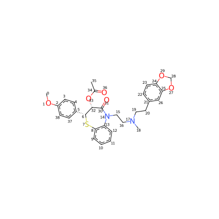 COc1ccc([C@H]2Sc3ccccc3N(CCN(C)CCc3ccc4c(c3)OCO4)C(=O)[C@H]2OC(C)=O)cc1